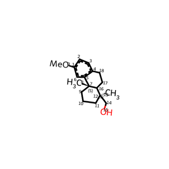 COc1ccc2c(c1)[C@@]1(C)CCC[C@](C)(CO)C1CC2